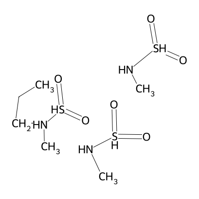 CN[SH](=O)=O.CN[SH](=O)=O.CN[SH](=O)=O.[CH2]CC